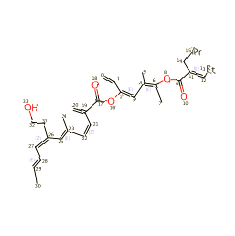 C=C/C(=C\C(C)=C(/C)OC(=O)/C(=C/CC)CC(C)C)OC(=O)C(=C)\C=C/C(C)=C/C(=C\C=C\C)CCO